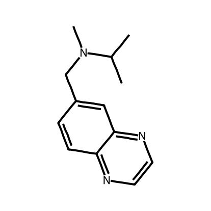 CC(C)N(C)Cc1ccc2nccnc2c1